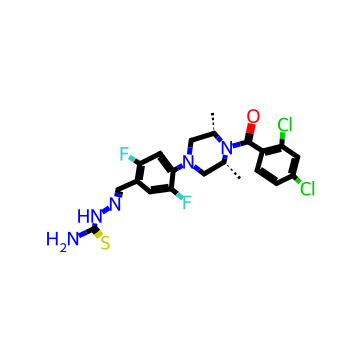 C[C@@H]1CN(c2cc(F)c(C=NNC(N)=S)cc2F)C[C@H](C)N1C(=O)c1ccc(Cl)cc1Cl